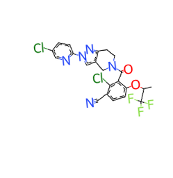 CC(Oc1ccc(C#N)c(Cl)c1C(=O)N1CCc2nn(-c3ccc(Cl)cn3)cc2C1)C(F)(F)F